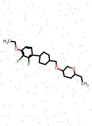 CCOc1ccc(C2CCC(COC3CCC(CC)OC3)CC2)c(F)c1F